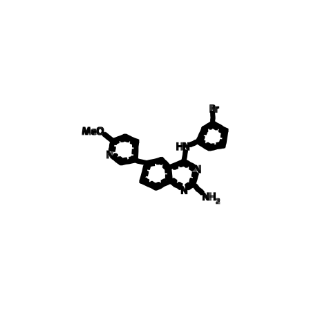 COc1ccc(-c2ccc3nc(N)nc(Nc4cccc(Br)c4)c3c2)cn1